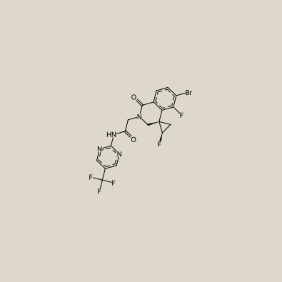 O=C(CN1C[C@]2(C[C@H]2F)c2c(ccc(Br)c2F)C1=O)Nc1ncc(C(F)(F)F)cn1